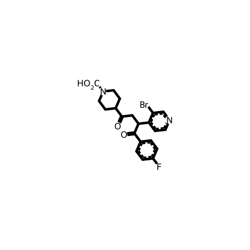 O=C(CC(C(=O)c1ccc(F)cc1)c1ccncc1Br)C1CCN(C(=O)O)CC1